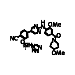 COc1cc(C(=O)N2CCC(OC)CC2)ccc1Nc1ncc(-c2ccc(C#N)c(O[Si@@H](C)Cn3cnnn3)c2)cn1